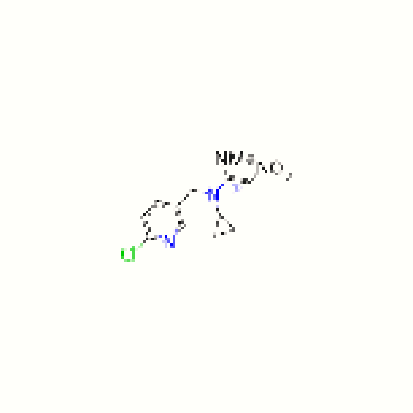 CN/C(=C\[N+](=O)[O-])N(Cc1ccc(Cl)nc1)C1CC1